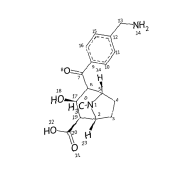 CN1[C@@H]2CC[C@H]1C(C(=O)c1ccc(CN)cc1)[C@H](O)[C@@H]2C(=O)O